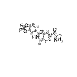 CC(N)C(=O)N1CCC(C(C)NC(=O)c2ccc3c(c2)OC(F)(F)O3)CC1